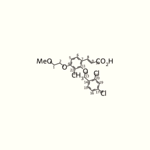 COCCOc1ccc(/C=C/C(=O)O)c(OCc2ccc(Cl)cc2Cl)c1C